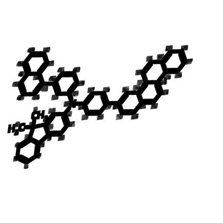 CC1(C)c2ccccc2-c2ccc(N(c3ccc(-c4ccc5ccc6c7ccccc7ccc6c5c4)cc3)c3cccc(-c4cccc5ccccc45)c3)cc21